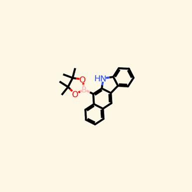 CC1(C)OB(c2c3ccccc3cc3c2[nH]c2ccccc23)OC1(C)C